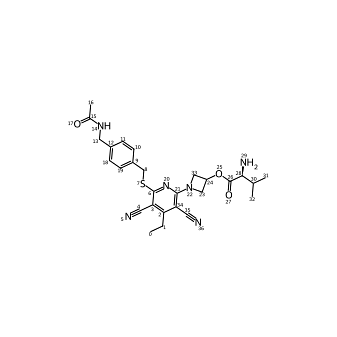 CCc1c(C#N)c(SCc2ccc(CNC(C)=O)cc2)nc(N2CC(OC(=O)[C@@H](N)C(C)C)C2)c1C#N